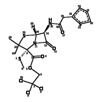 CS[C@@]1(C(=O)OCC(Cl)(Cl)Cl)N2C(=O)[C@H](NC(=O)Cc3cccs3)[C@H]2SC1(C)C